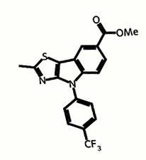 COC(=O)c1ccc2c(c1)c1sc(C)nc1n2-c1ccc(C(F)(F)F)cc1